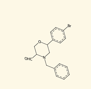 O=CC1COC(c2ccc(Br)cc2)CN1Cc1ccccc1